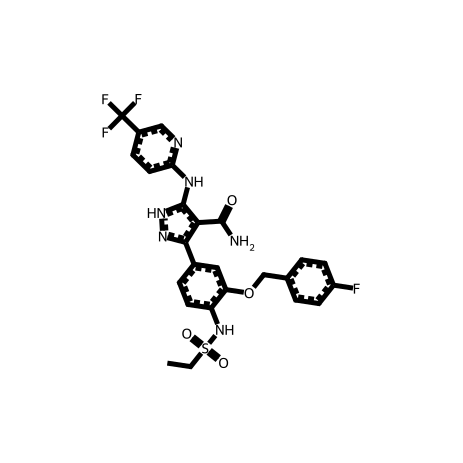 CCS(=O)(=O)Nc1ccc(-c2n[nH]c(Nc3ccc(C(F)(F)F)cn3)c2C(N)=O)cc1OCc1ccc(F)cc1